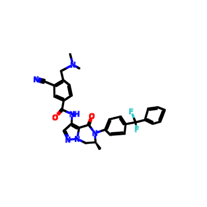 C[C@H]1Cn2ncc(NC(=O)c3ccc(CN(C)C)c(C#N)c3)c2C(=O)N1c1ccc(C(F)(F)c2ccccc2)cc1